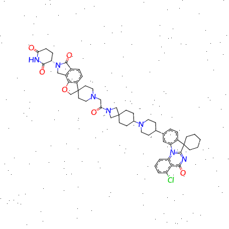 O=C1CC[C@H](N2Cc3c(ccc4c3OCC43CCN(CC(=O)N4CC5(CCC(N6CCC(c7ccc8c(c7)-n7c(nc(=O)c9c(Cl)cccc97)C87CCCCC7)CC6)CC5)C4)CC3)C2=O)C(=O)N1